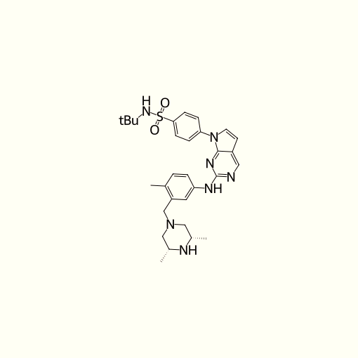 Cc1ccc(Nc2ncc3ccn(-c4ccc(S(=O)(=O)NC(C)(C)C)cc4)c3n2)cc1CN1C[C@@H](C)N[C@@H](C)C1